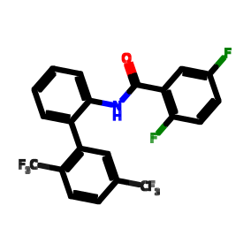 O=C(Nc1ccccc1-c1cc(C(F)(F)F)ccc1C(F)(F)F)c1cc(F)ccc1F